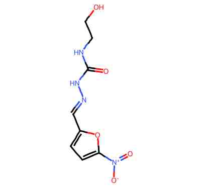 O=C(NCCO)NN=Cc1ccc([N+](=O)[O-])o1